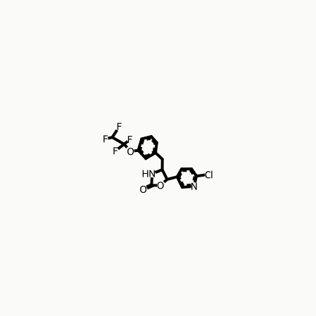 O=C1NC(Cc2cccc(OC(F)(F)C(F)F)c2)C(c2ccc(Cl)nc2)O1